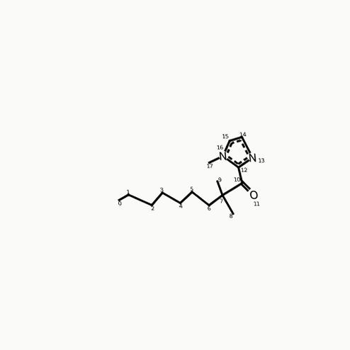 CCCCCCCC(C)(C)C(=O)c1nccn1C